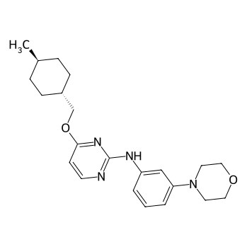 C[C@H]1CC[C@H](COc2ccnc(Nc3cccc(N4CCOCC4)c3)n2)CC1